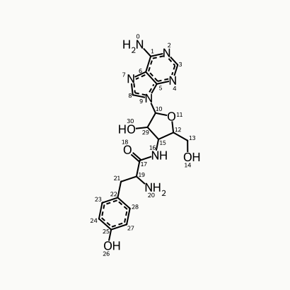 Nc1ncnc2c1ncn2C1OC(CO)C(NC(=O)C(N)Cc2ccc(O)cc2)C1O